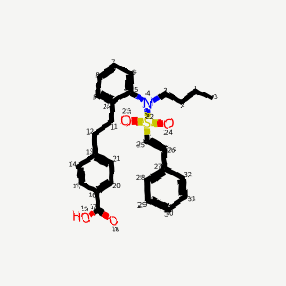 CCCCN(c1ccccc1CCc1ccc(C(=O)O)cc1)S(=O)(=O)/C=C/c1ccccc1